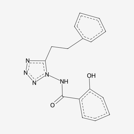 O=C(Nn1nnnc1CCc1ccccc1)c1ccccc1O